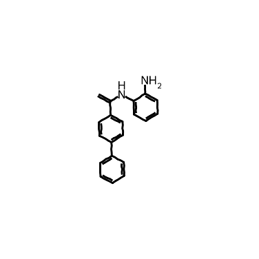 C=C(Nc1ccccc1N)c1ccc(-c2ccccc2)cc1